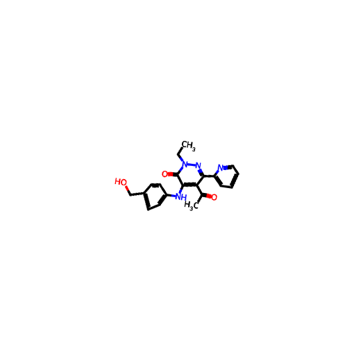 CCn1nc(-c2ccccn2)c(C(C)=O)c(Nc2ccc(CO)cc2)c1=O